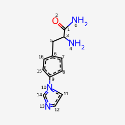 NC(=O)C(N)Cc1ccc(-n2ccnc2)cc1